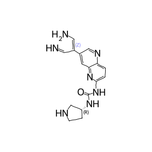 N=C/C(=C\N)c1cnc2ccc(NC(=O)N[C@@H]3CCNC3)nc2c1